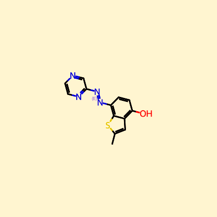 Cc1cc2c(O)ccc(/N=N/c3cnccn3)c2s1